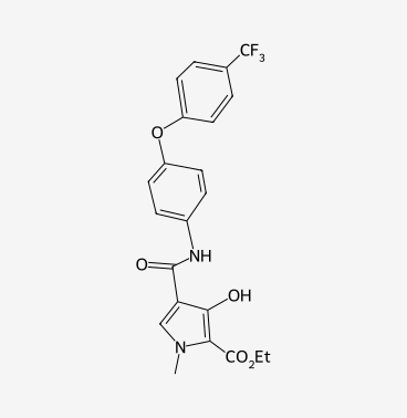 CCOC(=O)c1c(O)c(C(=O)Nc2ccc(Oc3ccc(C(F)(F)F)cc3)cc2)cn1C